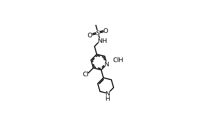 CS(=O)(=O)NCc1cnc(C2=CCNCC2)c(Cl)c1.Cl